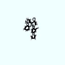 Cc1cc(-n2cccc2)ccc1-n1ccc(=O)c(-c2ccnn2-c2ccccc2)n1